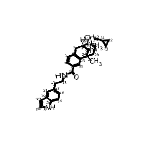 C[C@H]1[C@H]2Cc3ccc(C(=O)NCCc4ccc5[nH]ccc5c4)cc3[C@]1(C)CC[N+]2(C)CC1CC1